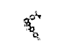 CCN1CCN(c2ccc(-c3cc4c(N5CCN(C(=O)C6CC6)CC5)ccnc4[nH]3)c(F)c2)CC1